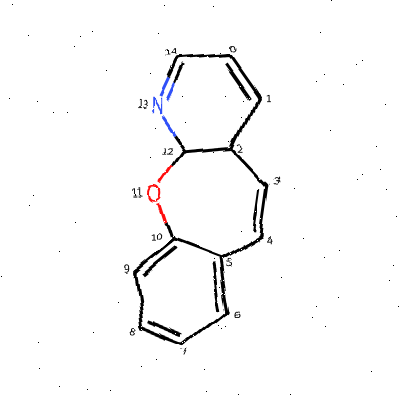 C1=CC2C=Cc3ccccc3OC2N=C1